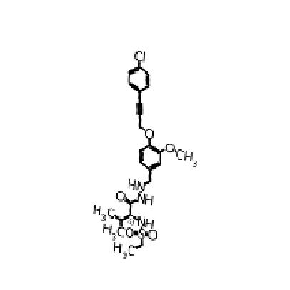 CCS(=O)(=O)N[C@H](C(=O)NNCc1ccc(OCC#Cc2ccc(Cl)cc2)c(OC)c1)C(C)C